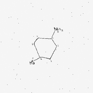 NC1CCC(S)CC1